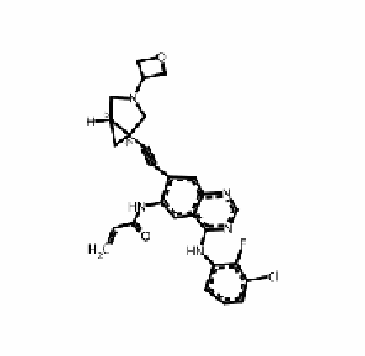 C=CC(=O)Nc1cc2c(Nc3cccc(Cl)c3F)ncnc2cc1C#C[C@@]12C[C@@H]1CN(C1COC1)C2